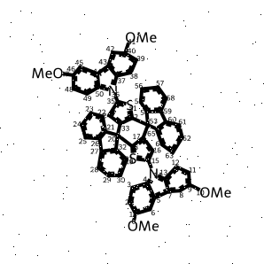 COc1ccc2c(c1)c1cc(OC)ccc1n2-c1cc2c(s1)C1(c3ccccc3-c3ccccc31)c1cc(-n3c4ccc(OC)cc4c4cc(OC)ccc43)sc1C21c2ccccc2-c2ccccc21